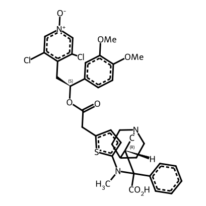 COc1ccc([C@H](Cc2c(Cl)c[n+]([O-])cc2Cl)OC(=O)Cc2ccc(N(C)C(C(=O)O)(c3ccccc3)[C@H]3CN4CCC3CC4)s2)cc1OC